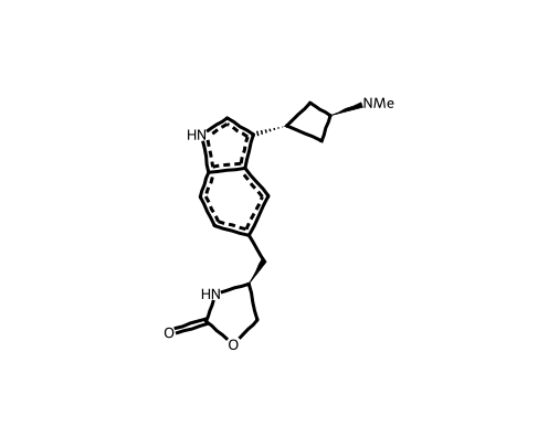 CN[C@H]1C[C@H](c2c[nH]c3ccc(C[C@H]4COC(=O)N4)cc32)C1